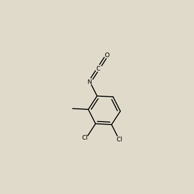 Cc1c(N=C=O)ccc(Cl)c1Cl